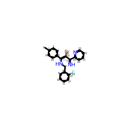 Cc1ccc(/C(NCc2ccccc2F)=C(\Br)C(=N)c2ccccn2)cc1